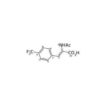 CC(=O)N/C(=C\c1ccc(C(F)(F)F)cc1)C(=O)O